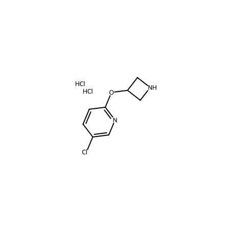 Cl.Cl.Clc1ccc(OC2CNC2)nc1